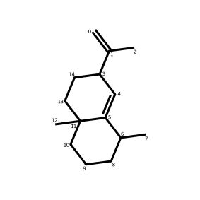 C=C(C)C1C=C2C(C)CCCC2(C)CC1